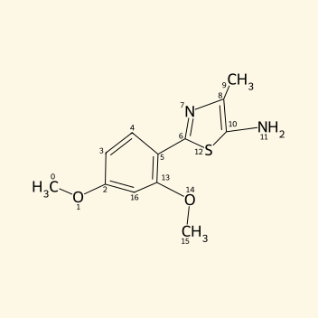 COc1ccc(-c2nc(C)c(N)s2)c(OC)c1